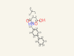 CC(C)C[C@H](CC(=O)O)C(=O)NCc1ccc(-c2ccccc2)cc1